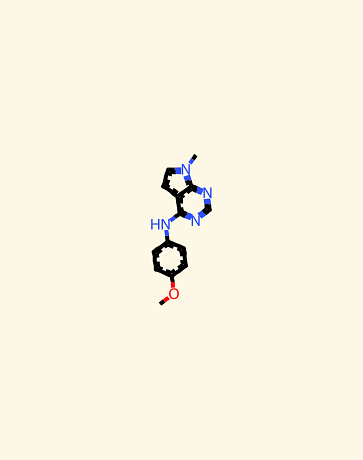 COc1ccc(Nc2ncnc3c2ccn3C)cc1